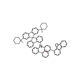 CC1(c2ccc3c(c2)C2(c4cc(C5(C)CCCCC5)ccc4-3)c3ccccc3-c3c(N(c4ccc(-c5cccc6c5oc5ccccc56)cc4)c4ccccc4-c4ccccc4)cccc32)CCCCC1